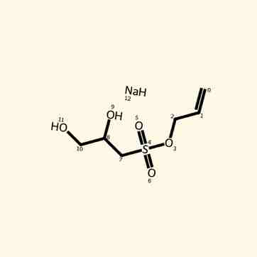 C=CCOS(=O)(=O)CC(O)CO.[NaH]